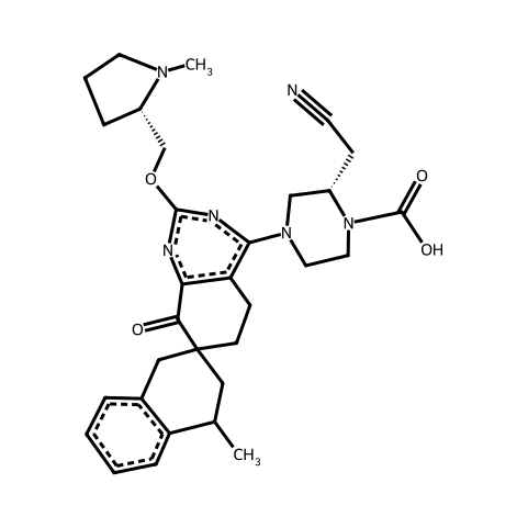 CC1CC2(CCc3c(nc(OC[C@@H]4CCCN4C)nc3N3CCN(C(=O)O)[C@@H](CC#N)C3)C2=O)Cc2ccccc21